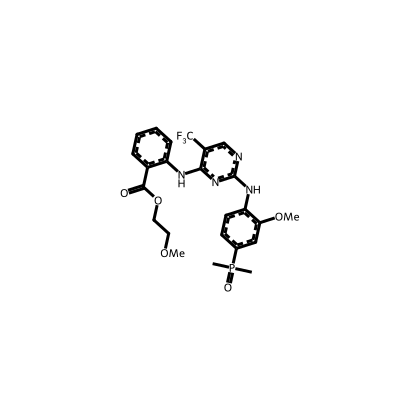 COCCOC(=O)c1ccccc1Nc1nc(Nc2ccc(P(C)(C)=O)cc2OC)ncc1C(F)(F)F